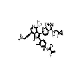 C=C(F)C(=O)Nc1ccc(-c2c(-c3ccc(C(=O)NCC4(F)CC4)c(OC)n3)c3c(N)ncc(C#CCN(C)C)c3n2C)c(C)c1